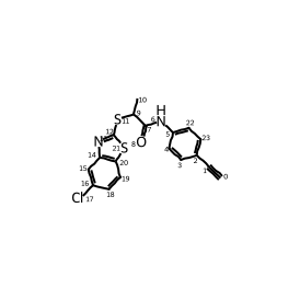 C#Cc1ccc(NC(=O)C(C)Sc2nc3cc(Cl)ccc3s2)cc1